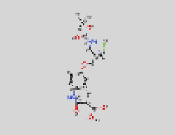 COC(=O)C1Cc2cc(OC/C(=C/F)CNC(=O)OC(C)(C)C)ccc2NC1=O